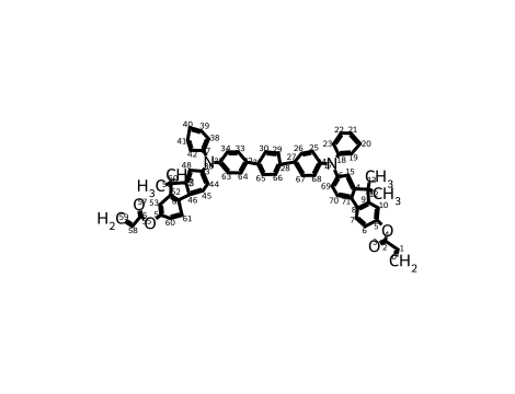 C=CC(=O)Oc1ccc2c(c1)C(C)(C)c1cc(N(c3ccccc3)c3ccc(-c4ccc(-c5ccc(N(c6ccccc6)c6ccc7c(c6)C(C)(C)c6cc(OC(=O)C=C)ccc6-7)cc5)cc4)cc3)ccc1-2